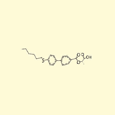 CCCCCCSc1ccc(-c2ccc(C(=O)O[C@@H](C)C(=O)O)cc2)cc1